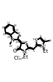 CCn1c(=Cc2scc(C)[n+]2CC)sc(=C2Sc3ccccc3N2C)c1=O.[Cl-]